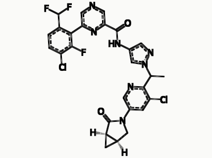 CC(c1ncc(N2C[C@H]3C[C@H]3C2=O)cc1Cl)n1cc(NC(=O)c2cncc(-c3c(C(F)F)ccc(Cl)c3F)n2)cn1